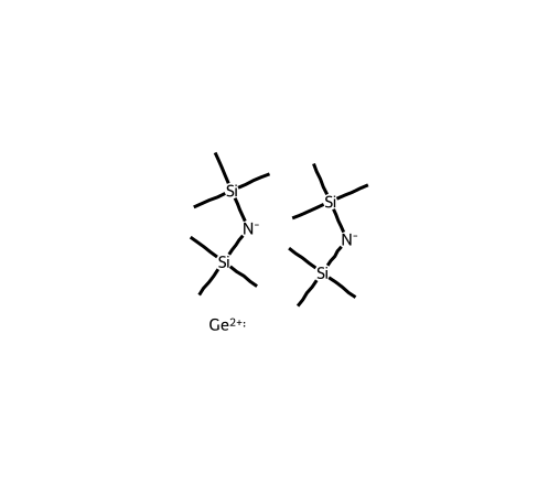 C[Si](C)(C)[N-][Si](C)(C)C.C[Si](C)(C)[N-][Si](C)(C)C.[Ge+2]